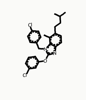 Cc1c(CCC(C)C)ccc2nc(Oc3cccc(Cl)c3)n(Cc3ccc(Cl)cc3)c12